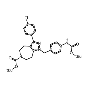 CC(C)(C)OC(=O)Nc1ccc(Cn2nc(-c3ccc(Cl)cc3)c3c2CCN(C(=O)OC(C)(C)C)CC3)cc1